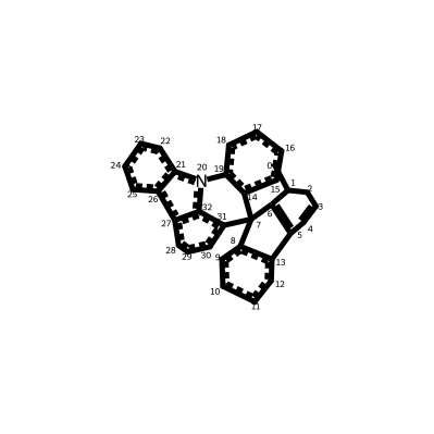 CC1CC=CC2=C1C1(c3ccccc32)c2ccccc2-n2c3ccccc3c3cccc1c32